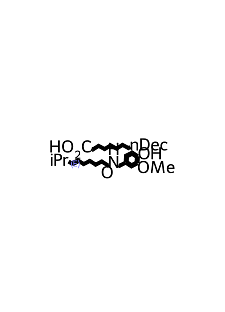 CCCCCCCCCCCCCCCCCC(=O)O.COc1cc(CNC(=O)CCCC/C=C/C(C)C)ccc1O